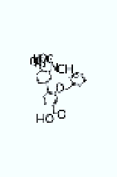 CN(C)c1cc(-c2ccc(C(=O)O)cc2OCc2ccccc2)ccc1[N+](=O)[O-]